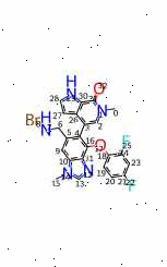 Cn1cc(-c2c(CNBr)cc3c(ncn3C)c2Oc2ccc(F)cc2F)c2cc[nH]c2c1=O